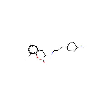 N[C@H]1CC[C@H](CCCN[C@H]2Cc3cccc(C(=O)O)c3OB2O)CC1